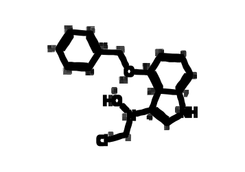 ON(CCl)c1c[nH]c2cccc(OCc3ccccc3)c12